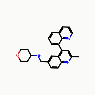 Cc1cc(-c2cccc3cccnc23)c2cc(CNC3CCOCC3)ccc2n1